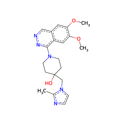 COc1cc2cnnc(N3CCC(O)(Cn4ccnc4C)CC3)c2cc1OC